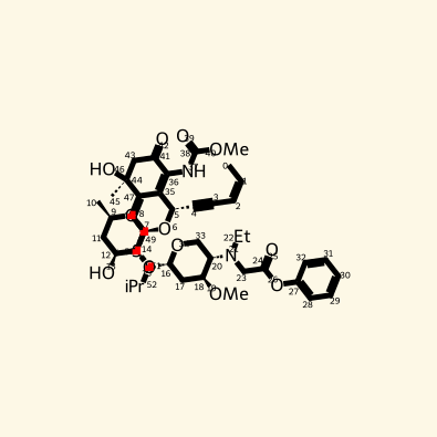 C/C=C\C#C[C@H](O[C@@H]1O[C@H](C)C[C@H](O)[C@H]1O[C@H]1C[C@H](OC)[C@@H](N(CC)CC(=O)Oc2ccccc2)CO1)C1=C(NC(=O)OC)C(=O)C[C@](C)(O)/C1=C/CSSC(C)C